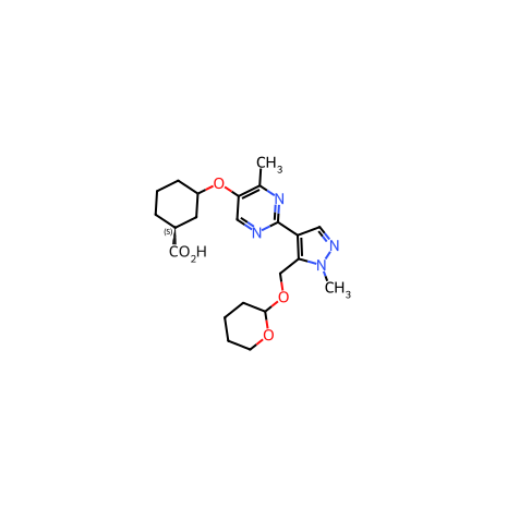 Cc1nc(-c2cnn(C)c2COC2CCCCO2)ncc1OC1CCC[C@H](C(=O)O)C1